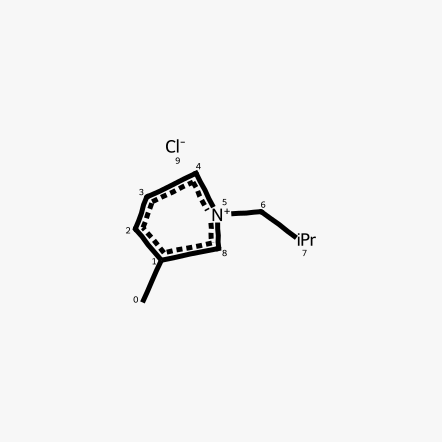 Cc1ccc[n+](CC(C)C)c1.[Cl-]